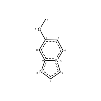 COc1ccn2ccnc2c1